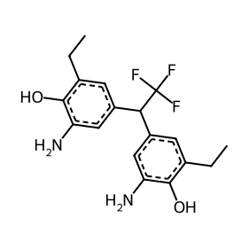 CCc1cc(C(c2cc(N)c(O)c(CC)c2)C(F)(F)F)cc(N)c1O